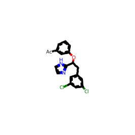 CC(=O)c1cccc(OC(Cc2cc(Cl)cc(Cl)c2)c2ncc[nH]2)c1